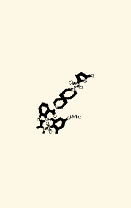 COc1cc(C)c(S(=O)(=O)N(C)C(C)c2nc3cccc(C(=O)N4CCC5(CC4)CCN(S(=O)(=O)c4ccc(Cl)s4)CC5)c3[nH]2)c(C)c1